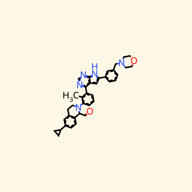 Cc1c(-c2ncnc3[nH]c(-c4cccc(CN5CCOCC5)c4)cc23)cccc1N1CCc2cc(C3CC3)ccc2C1C=O